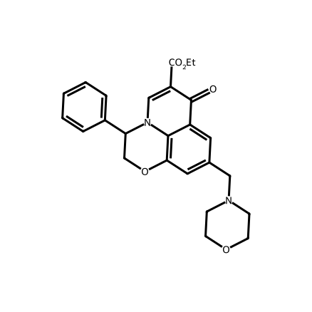 CCOC(=O)c1cn2c3c(cc(CN4CCOCC4)cc3c1=O)OCC2c1ccccc1